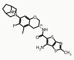 Cc1nc2sc(C(=O)N[C@H]3COc4cc(N5CC6CCC(C5)N6)c(F)c(F)c4C3)c(N)c2s1